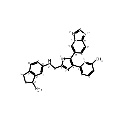 Cc1cccc(-c2nc(CNc3ccc4c(c3)C(N)CC4)[nH]c2-c2ccc3ncnn3c2)n1